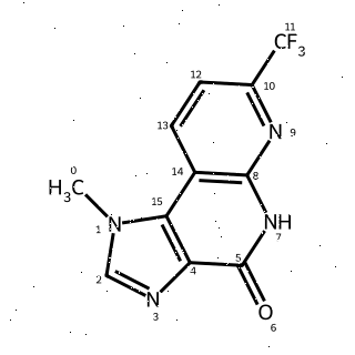 Cn1cnc2c(=O)[nH]c3nc(C(F)(F)F)ccc3c21